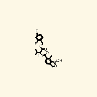 Cc1c(C(=O)NC(C(=O)OCc2ccc(F)cc2F)C(C)C)ccc2c1B(O)OC2